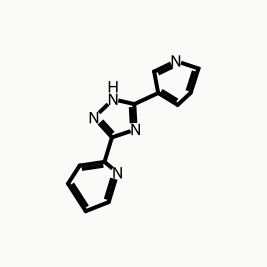 c1ccc(-c2n[nH]c(-c3cccnc3)n2)nc1